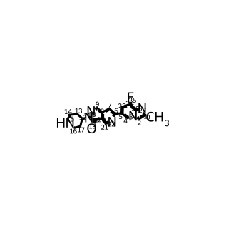 Cc1cn2cc(-c3cc4cnn(C5CCNCC5)c(=O)c4cn3)cc(F)c2n1